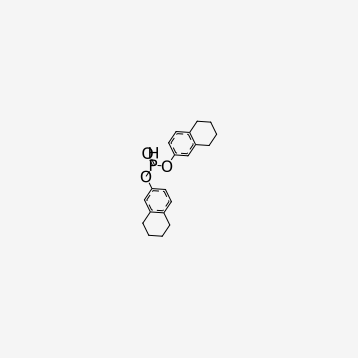 O=[PH](Oc1ccc2c(c1)CCCC2)Oc1ccc2c(c1)CCCC2